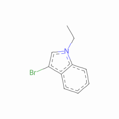 CCn1cc(Br)c2ccccc21